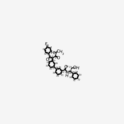 CNC(=O)c1c(-c2ccc(F)cc2)oc2ccc(-c3cccc(C(=O)N[C@@H](CO)c4ccccc4)c3)cc12